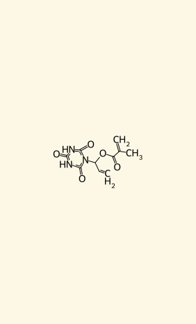 C=CC(OC(=O)C(=C)C)n1c(=O)[nH]c(=O)[nH]c1=O